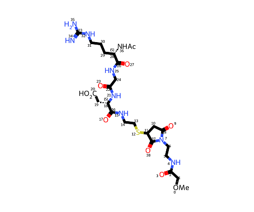 COCC(=O)NCCN1C(=O)CC(SCCNC(=O)[C@H](CC(=O)O)NC(=O)CNC(=O)[C@H](CCCNC(=N)N)NC(C)=O)C1=O